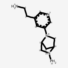 NCCc1cncc(N2CC3CC2CN3P)c1